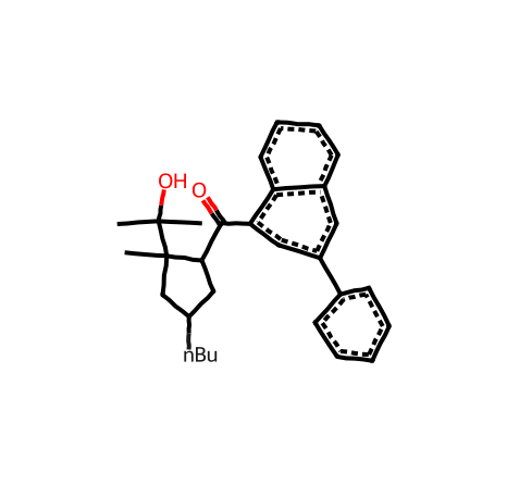 CCCCC1CC(C(=O)c2cc(-c3ccccc3)cc3ccccc23)C(C)(C(C)(C)O)C1